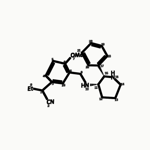 CCC(C#N)c1ccc(OC)c(CN[C@H]2CCCN[C@H]2c2ccccc2)c1